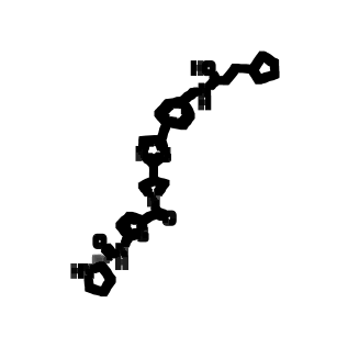 O=C(Nc1ccc(C(=O)N2CC(c3ncc(-c4ccc(CNC(O)CCC5CCCC5)cc4)s3)C2)s1)[C@@H]1CCCN1